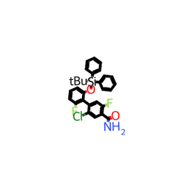 CC(C)(C)[Si](Oc1cccc(F)c1-c1cc(F)c(C(N)=O)cc1Cl)(c1ccccc1)c1ccccc1